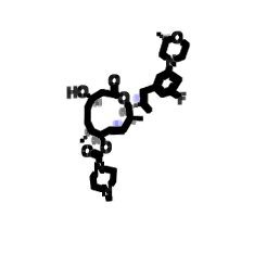 C/C(=C\c1cc(F)cc(N2CCO[C@@H](C)C2)c1)[C@H]1OC(=O)C[C@@H](O)CC[C@@H](C)[C@H](OC(=O)N2CCN(C)CC2)/C=C/[C@@H]1C